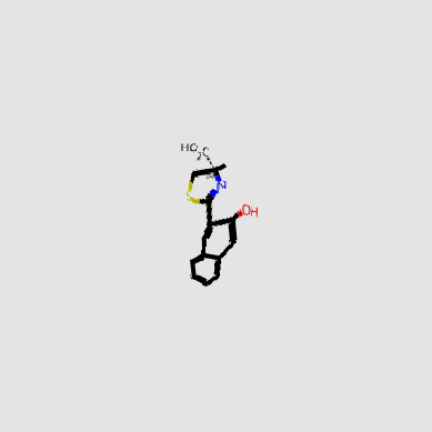 C[C@]1(C(=O)O)CSC(c2cc3ccccc3cc2O)=N1